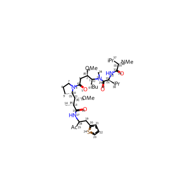 CCC(C)[C@@H]([C@@H](CC(=O)N1CCC[C@H]1[C@H](OC)[C@@H](C)C(=O)NC(Cc1cccs1)C(C)=O)OC)N(C)C(=O)[C@@H](NC(=O)[C@@H](NC)C(C)C)C(C)C